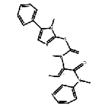 C=C(Sc1ncc(-c2ccccc2)n1C)N(C)/C(=C\C)C(=O)N(C)c1cccnc1